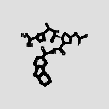 CC(NC(=O)[C@@H]1C[C@@H](OC(F)F)CN1C(=O)CNC(=O)c1ccc2oc3ccccc3c2c1)c1cc(C(=N)N)cs1